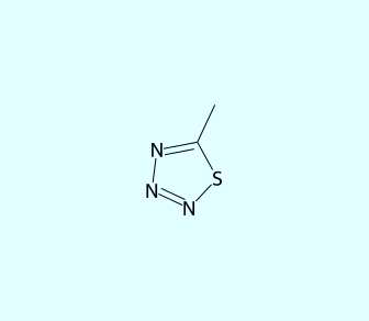 Cc1nnns1